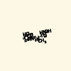 CN(CCCC(=O)NO)CCNC(=O)c1ccccc1O